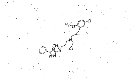 COc1ccc(Cl)cc1C1CC1CN(CCCSc1nnc(-c2ccccc2)n1C)CC1CC1